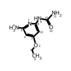 CCOc1cc(N)nc(NC(N)=O)c1